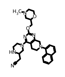 CN1CCOC(COc2nc3c(c(N4CCNC(CC#N)C4)n2)CCN(c2cccc4ccccc24)C3)C1